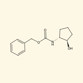 O=C(N[C@@H]1CCC[C@H]1O)OCc1ccccc1